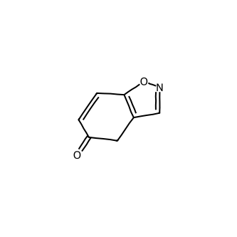 O=C1C=Cc2oncc2C1